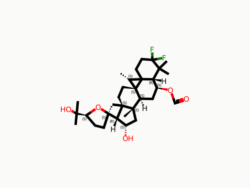 C[C@@H]1C23CCC(F)(F)C(C)(C)[C@@H]2[C@@H](OC=O)C[C@@H]2[C@]13CC[C@]13C[C@@]4(CC[C@@H](C(C)(C)O)O4)[C@H]1[C@@H](O)C[C@@]23C